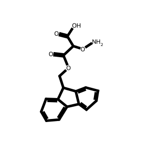 NOC(C(=O)O)C(=O)OCC1c2ccccc2-c2ccccc21